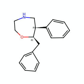 c1ccc(C[C@H]2OCCNC[C@H]2c2ccccc2)cc1